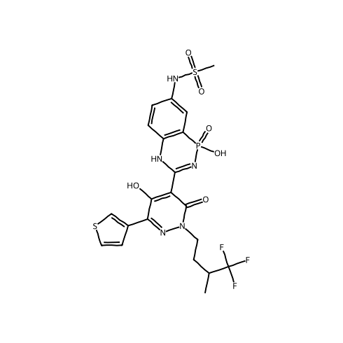 CC(CCn1nc(-c2ccsc2)c(O)c(C2=NP(=O)(O)c3cc(NS(C)(=O)=O)ccc3N2)c1=O)C(F)(F)F